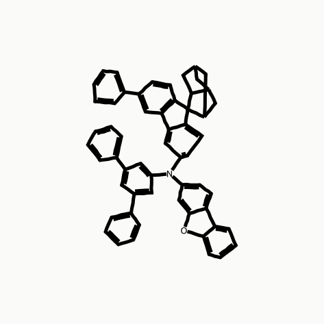 c1ccc(-c2cc(-c3ccccc3)cc(N(c3ccc4c(c3)-c3cc(-c5ccccc5)ccc3C43C4CC5CC(C4)C3C5)c3ccc4c(c3)oc3ccccc34)c2)cc1